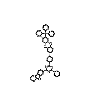 c1ccc(-c2nc(-c3ccc(-c4ccc5c(c4)Oc4cc6c(cc4O5)C(c4ccccc4)(c4ccccc4)c4ccccc4-6)cc3)nc(-c3ccc4c(c3)oc3ccccc34)n2)cc1